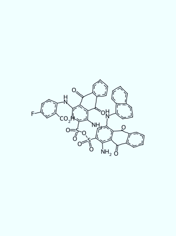 Nc1c(S(=O)(=O)OS(=O)(=O)c2cc(Nc3cccc4ccccc34)c3c(c2N)C(=O)c2ccccc2C3=O)cc(Nc2ccc(F)cc2C(=O)O)c2c1C(=O)c1ccccc1C2=O